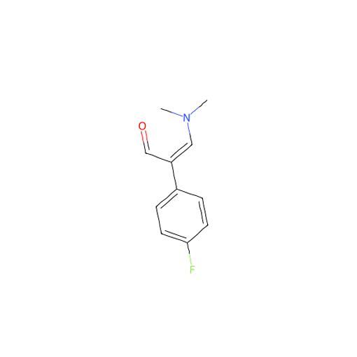 CN(C)/C=C(\C=O)c1ccc(F)cc1